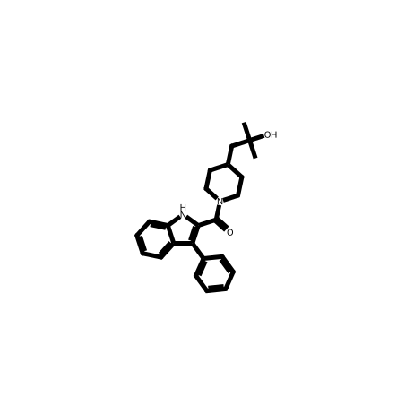 CC(C)(O)CC1CCN(C(=O)c2[nH]c3ccccc3c2-c2ccccc2)CC1